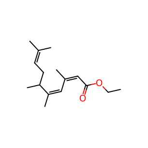 CCOC(=O)C=C(C)C=C(C)C(C)CC=C(C)C